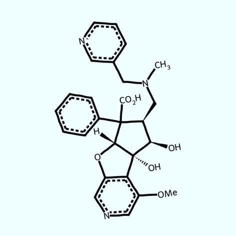 COc1cncc2c1[C@]1(O)[C@H](O)[C@H](CN(C)Cc3cccnc3)C(C(=O)O)(c3ccccc3)[C@H]1O2